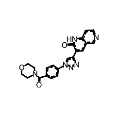 O=C(c1ccc(-n2cc(-c3cc4cnccc4[nH]c3=O)nn2)cc1)N1CCOCC1